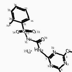 COc1nc(C)nc(NC(=O)[N-]S(=O)(=O)c2ccccc2I)n1.[Li+]